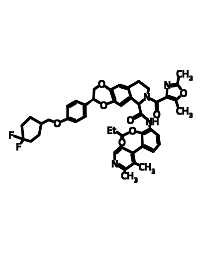 CCC(=O)Oc1c(NC(=O)C2c3cc4c(cc3CCN2C(=O)c2nc(C)oc2C)OC[C@H](c2ccc(OCC3CCC(F)(F)CC3)cc2)O4)cccc1-c1ccnc(C)c1C